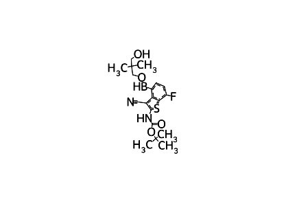 CC(C)(CO)COBc1ccc(F)c2sc(NC(=O)OC(C)(C)C)c(C#N)c12